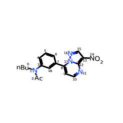 CCCCN(C(C)=O)c1cccc(-c2ccnc3c([N+](=O)[O-])cnn23)c1